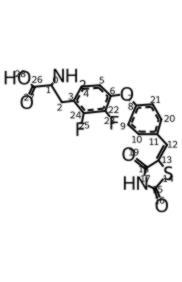 NC(Cc1ccc(Oc2ccc(C=C3SC(=O)NC3=O)cc2)c(F)c1F)C(=O)O